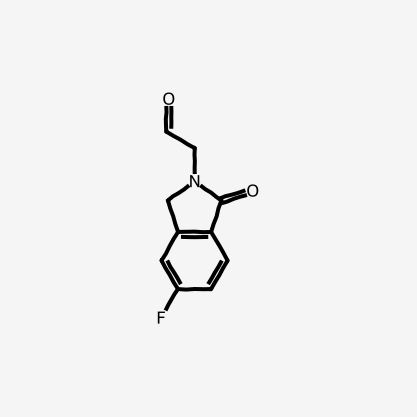 O=CCN1Cc2cc(F)ccc2C1=O